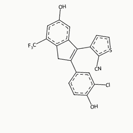 N#Cc1sccc1C1=C(c2ccc(O)c(Cl)c2)Cc2c1cc(O)cc2C(F)(F)F